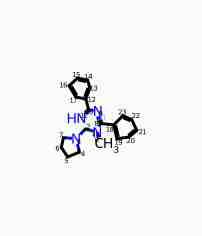 CN(CN1CCCC1)/C(=N\C(=N)c1ccccc1)c1ccccc1